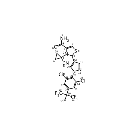 N#CC1(N2C(C(N)=O)=CSC2c2cnn(-c3c(Cl)cc(C(F)(C(F)(F)F)C(F)(F)F)cc3Cl)c2)CC1